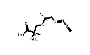 C=BN=NC[C@@H](C)SC[C@](C)(N)C(=O)O